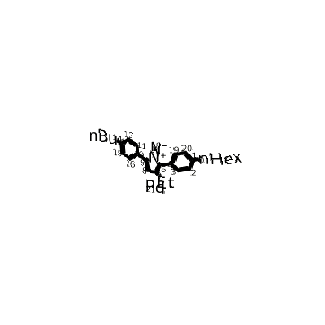 CCCCCCc1ccc(C2=C(CC)C=C(c3ccc(CCCC)cc3)[N+]2=[N-])cc1.[Pd]